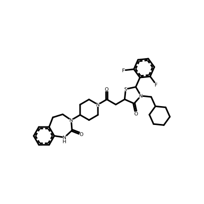 O=C(CC1SC(c2c(F)cccc2F)N(CC2CCCCC2)C1=O)N1CCC(N2CCc3ccccc3NC2=O)CC1